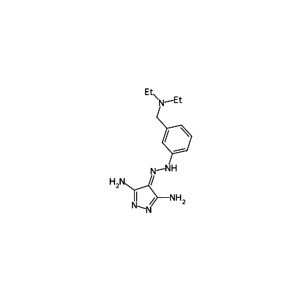 CCN(CC)Cc1cccc(NN=C2C(N)=NN=C2N)c1